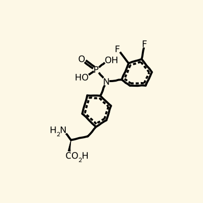 N[C@@H](Cc1ccc(N(c2cccc(F)c2F)P(=O)(O)O)cc1)C(=O)O